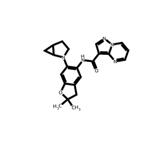 CC1(C)Cc2cc(NC(=O)c3cnn4cccnc34)c(N3CCC4CC43)cc2O1